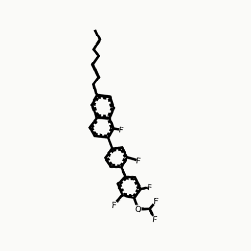 CCCCCCCc1ccc2c(F)c(-c3ccc(-c4cc(F)c(OC(F)F)c(F)c4)c(F)c3)ccc2c1